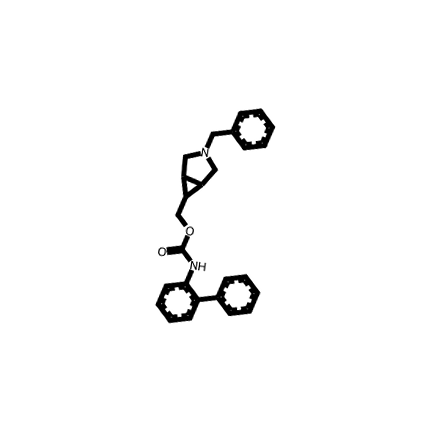 O=C(Nc1ccccc1-c1ccccc1)OCC1C2CN(Cc3ccccc3)CC12